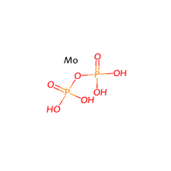 O=P(O)(O)OP(=O)(O)O.[Mo]